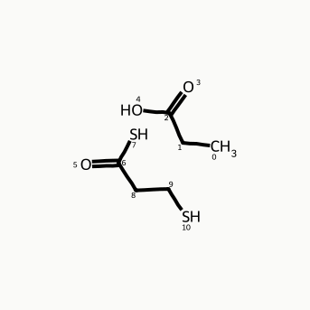 CCC(=O)O.O=C(S)CCS